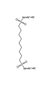 [N-]=[N+]=NS(=O)(=O)CCCCCCCCCS(=O)(=O)N=[N+]=[N-]